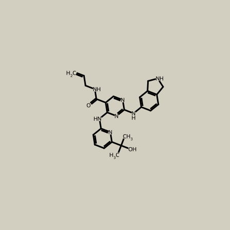 C=CCNC(=O)c1cnc(Nc2ccc3c(c2)CNC3)nc1Nc1cccc(C(C)(C)O)n1